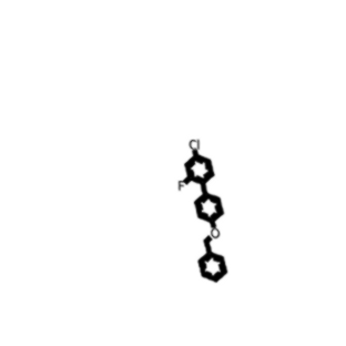 Fc1cc(Cl)ccc1-c1ccc(OCc2ccccc2)cc1